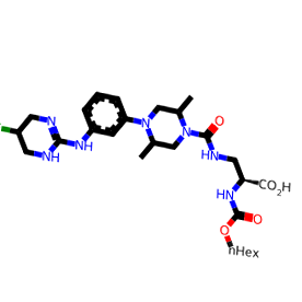 CCCCCCOC(=O)N[C@@H](CNC(=O)N1CC(C)N(c2cccc(NC3=NCC(F)CN3)c2)CC1C)C(=O)O